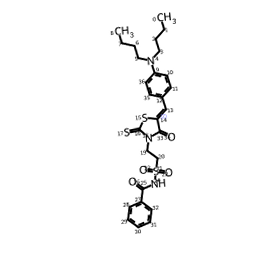 CCCCN(CCCC)c1ccc(/C=C2\SC(=S)N(CCS(=O)(=O)NC(=O)c3ccccc3)C2=O)cc1